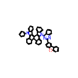 C1=CC2=c3c(c4ccccc4n3-c3ccccc3)=C3c4c(n(-c5nc(-c6ccc7oc8ccccc8c7c6)nc6ccccc56)c5ccccc45)-c4ccccc4C3C2C=C1